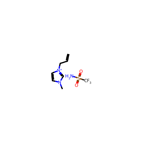 C=CC[n+]1ccn(C)c1.NS(=O)(=O)C(F)(F)F